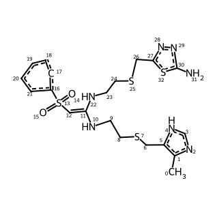 Cc1nc[nH]c1CSCCNC(=CS(=O)(=O)c1ccccc1)NCCSCc1nnc(N)s1